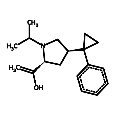 C=C(O)[C@H]1C[C@H](C2(c3ccccc3)CC2)CN1C(C)C